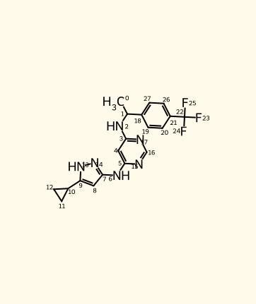 CC(Nc1cc(Nc2cc(C3CC3)[nH]n2)ncn1)c1ccc(C(F)(F)F)cc1